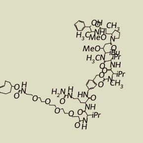 CCC(C)C(C(CC(=O)N1CCCC1C(OC)C(C)C(=O)NC(C)C(O)c1ccccc1)OC)N(C)C(=O)C(NC(=O)C(C(C)C)N(C)C(=O)OCc1ccc(NC(=O)C(CCCNC(N)=O)NC(=O)C(NC(=O)CCOCCOCCOCCOCCNC(=O)OC2CC/C=C/CCC2)C(C)C)cc1)C(C)C